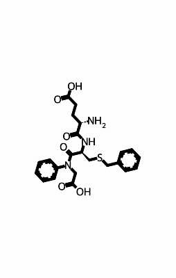 N[C@@H](CCC(=O)O)C(=O)N[C@@H](CSCc1ccccc1)C(=O)N(CC(=O)O)c1ccccc1